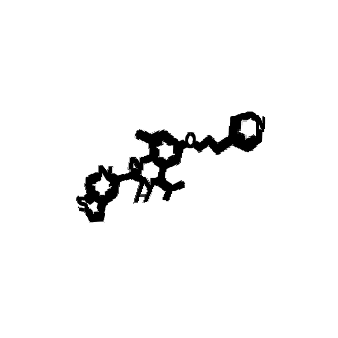 CC(C)=C1NC(c2cc3ccsc3cn2)=Nc2c(C)cc(OCCCc3ccncc3)cc21